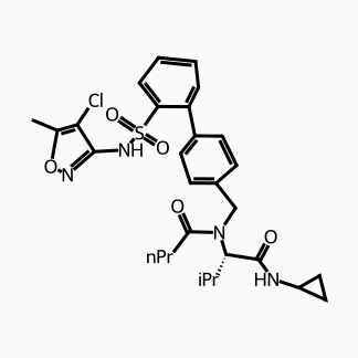 CCCC(=O)N(Cc1ccc(-c2ccccc2S(=O)(=O)Nc2noc(C)c2Cl)cc1)[C@H](C(=O)NC1CC1)C(C)C